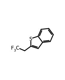 FC(F)(F)Cc1cc2ccccc2s1